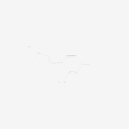 COC(=O)/C=C/c1ccc(OC(F)(F)F)cc1N